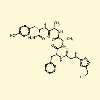 C[C@H](NC(=O)[C@H](C)NC(=O)[C@H](Cc1ccccc1)NC(=O)CNc1ncc(CO)s1)C(=O)N[C@@H](Cc1ccc(O)cc1)C(N)=O